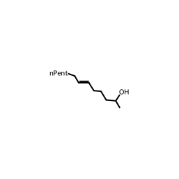 CCCCCCC=CCCCC(C)O